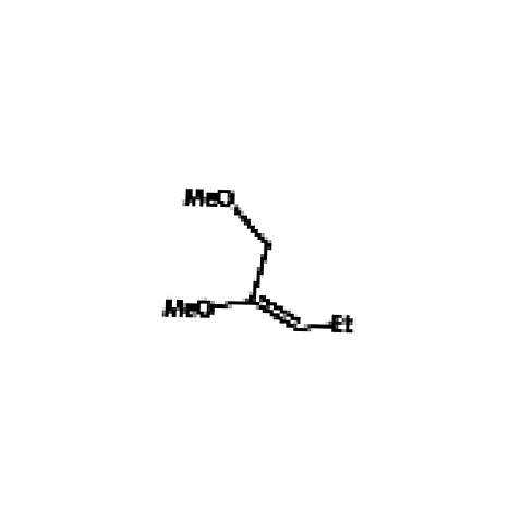 CCC=C(COC)OC